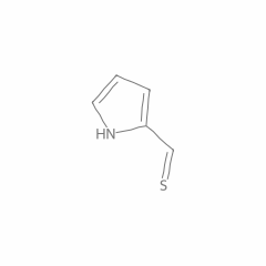 S=Cc1ccc[nH]1